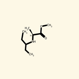 CCC(CC)N[C@@H](C)C(=O)OC